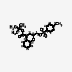 Cc1ccc(S(=O)(=O)OCC2CN(C(=O)OC(C)(C)C)c3ccccc3O2)cc1